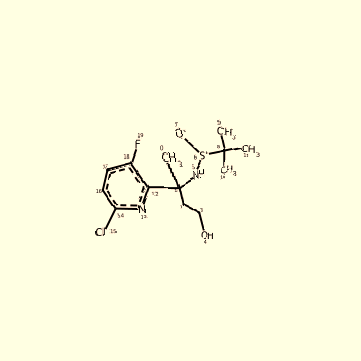 CC(CCO)(N[S+]([O-])C(C)(C)C)c1nc(Cl)ccc1F